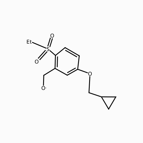 CCS(=O)(=O)c1ccc(OCC2CC2)cc1C[O]